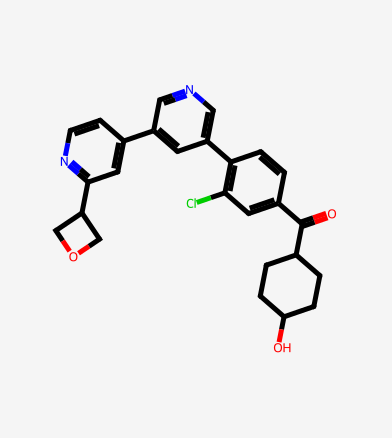 O=C(c1ccc(-c2cncc(-c3ccnc(C4COC4)c3)c2)c(Cl)c1)C1CCC(O)CC1